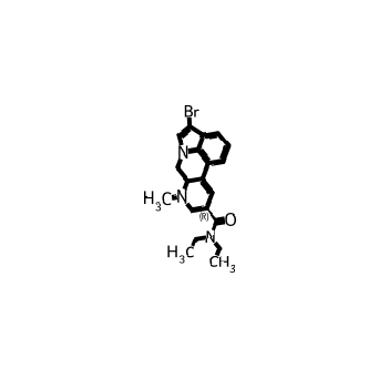 CCN(CC)C(=O)[C@@H]1C=C2c3cccc4c(Br)cn(c34)CC2N(C)C1